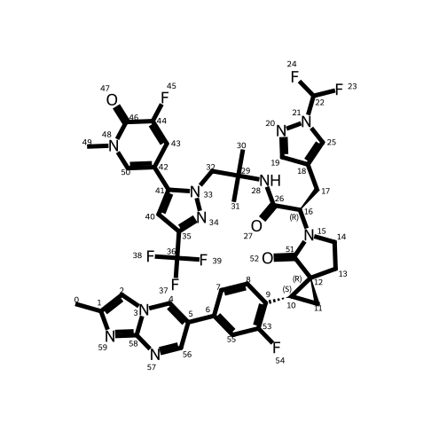 Cc1cn2cc(-c3ccc([C@H]4C[C@@]45CCN([C@H](Cc4cnn(C(F)F)c4)C(=O)NC(C)(C)Cn4nc(C(F)(F)F)cc4-c4cc(F)c(=O)n(C)c4)C5=O)c(F)c3)cnc2n1